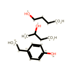 CC(O)CC(=O)O.O=C(O)CCCO.O=C(O)Cc1ccc(O)cc1